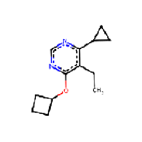 CCc1c(OC2CCC2)ncnc1C1CC1